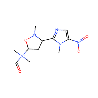 CN1OC([N+](C)(C)C=O)CC1c1ncc([N+](=O)[O-])n1C